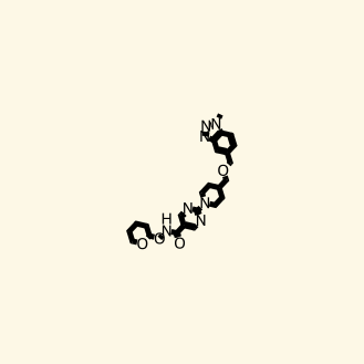 Cn1nnc2cc(COCC3CCN(c4ncc(C(=O)NOC5CCCCO5)cn4)CC3)ccc21